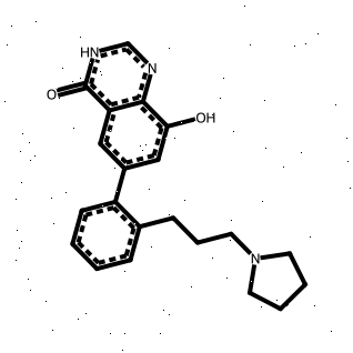 O=c1[nH]cnc2c(O)cc(-c3ccccc3CCCN3CCCC3)cc12